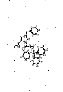 N#CC[C@H]1CN(Cc2ccccc2)CN1C(=O)[C@H]1CN1C(c1ccccc1)(c1ccccc1)c1ccccc1